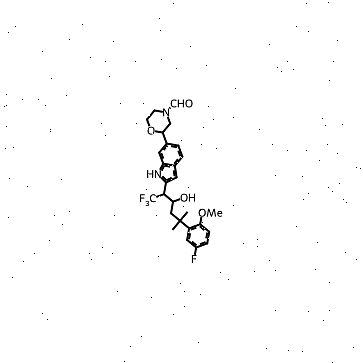 COc1ccc(F)cc1C(C)(C)CC(O)C(c1cc2ccc(C3CN(C=O)CCO3)cc2[nH]1)C(F)(F)F